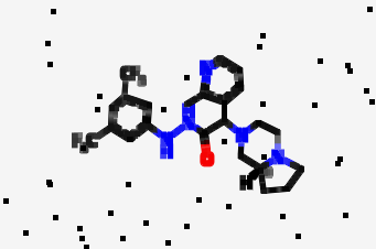 Cc1ncccc1C(C(=O)NNc1cc(C(F)(F)F)cc(C(F)(F)F)c1)N1CCN2CCC[C@@H]2C1